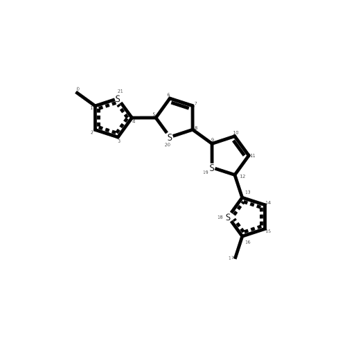 Cc1ccc(C2C=CC(C3C=CC(c4ccc(C)s4)S3)S2)s1